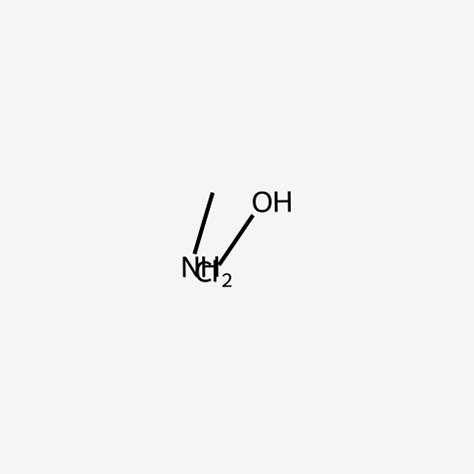 CN.OCl